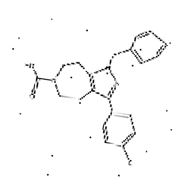 O=C(O)N1CCc2c(-c3ccc(Cl)cc3)nn(Cc3ccccc3)c2CC1